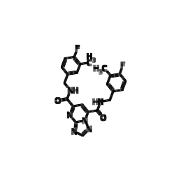 Cc1cc(CNC(=O)c2cc(C(=O)NCc3ccc(F)c(C)c3)n3ncnc3n2)ccc1F